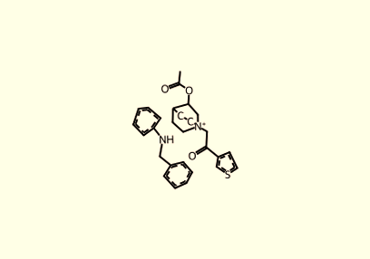 CC(=O)OC1C[N+]2(CC(=O)c3ccsc3)CCC1CC2.c1ccc(CNc2ccccc2)cc1